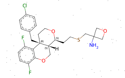 NC1(CSCC[C@@H]2OCC[C@@]3(Cc4ccc(Cl)cc4)c4c(F)ccc(F)c4OC[C@@H]23)COC1